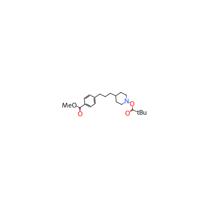 COC(=O)c1ccc(CCCC2CCN(OC(=O)C(C)(C)C)CC2)cc1